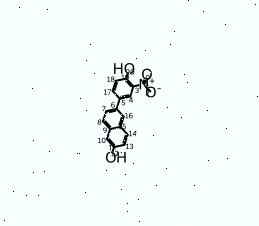 O=[N+]([O-])c1cc(-c2ccc3cc(O)ccc3c2)ccc1O